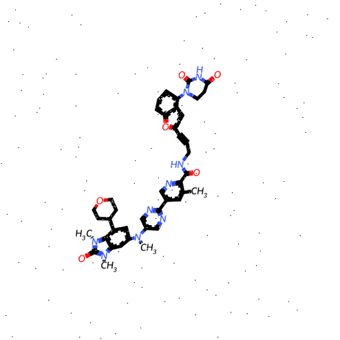 Cc1cc(-c2ncc(N(C)c3cc(C4CCOCC4)c4c(c3)n(C)c(=O)n4C)cn2)cnc1C(=O)NCC#Cc1cc2c(N3CCC(=O)NC3=O)cccc2o1